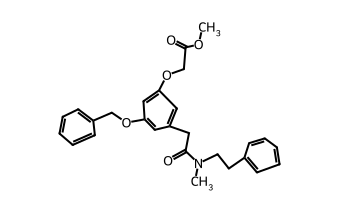 COC(=O)COc1cc(CC(=O)N(C)CCc2ccccc2)cc(OCc2ccccc2)c1